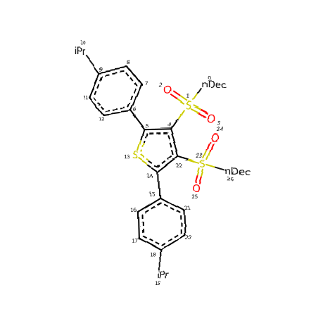 CCCCCCCCCCS(=O)(=O)c1c(-c2ccc(C(C)C)cc2)sc(-c2ccc(C(C)C)cc2)c1S(=O)(=O)CCCCCCCCCC